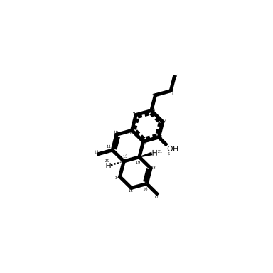 CCCc1cc(O)c2c(c1)C=C(C)[C@@H]1CCC(C)=C[C@@H]21